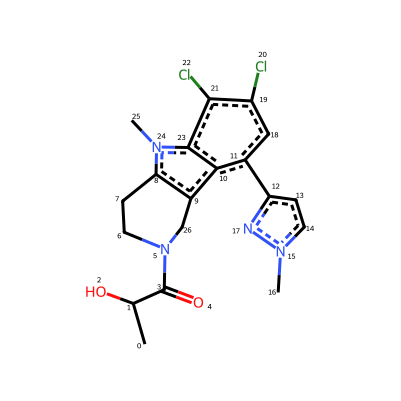 CC(O)C(=O)N1CCc2c(c3c(-c4ccn(C)n4)cc(Cl)c(Cl)c3n2C)C1